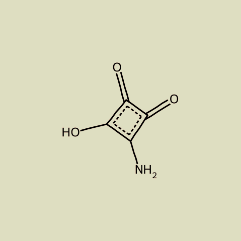 Nc1c(O)c(=O)c1=O